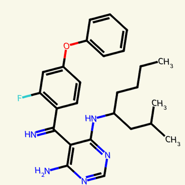 CCCCC(CC(C)C)Nc1ncnc(N)c1C(=N)c1ccc(Oc2ccccc2)cc1F